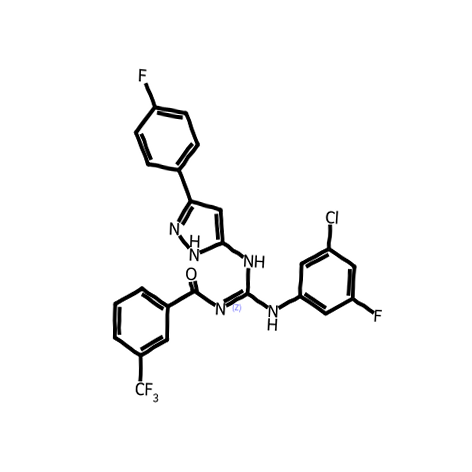 O=C(/N=C(/Nc1cc(F)cc(Cl)c1)Nc1cc(-c2ccc(F)cc2)n[nH]1)c1cccc(C(F)(F)F)c1